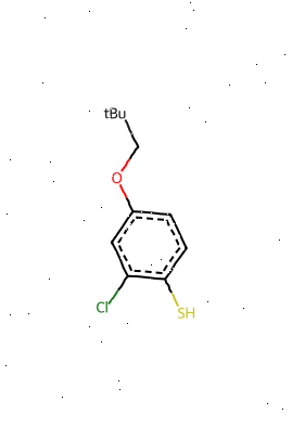 CC(C)(C)COc1ccc(S)c(Cl)c1